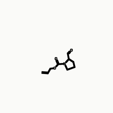 C=CCOC(=O)N1CCCC1C=O